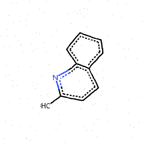 [CH]c1ccc2ccccc2n1